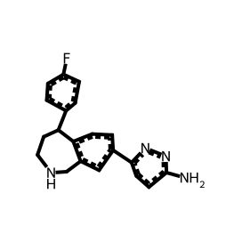 Nc1ccc(-c2ccc3c(c2)CNCCC3c2ccc(F)cc2)nn1